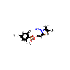 CC1=C(C)N(N)C(CCOS(=O)(=O)c2c(C)cc(C)cc2C)S1